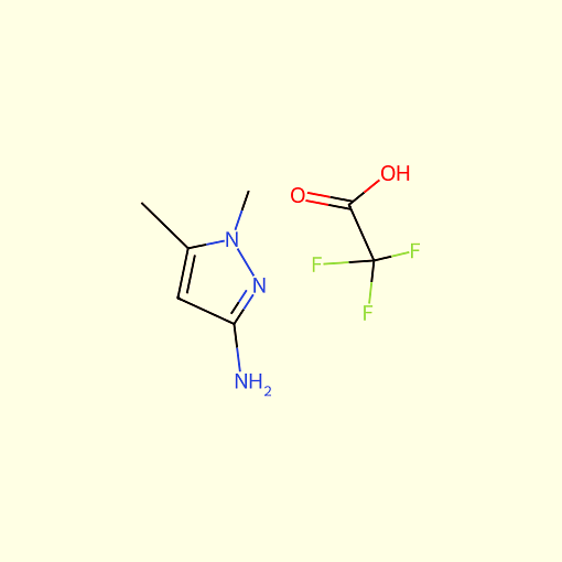 Cc1cc(N)nn1C.O=C(O)C(F)(F)F